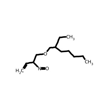 C=CC(COCC(CC)CCCCC)N=O